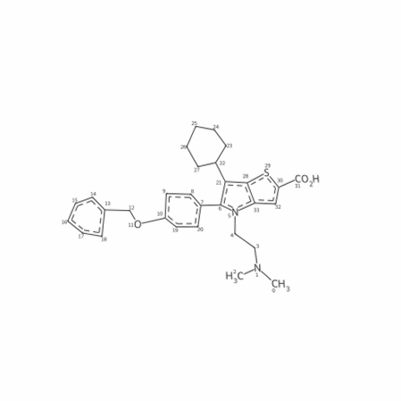 CN(C)CCn1c(-c2ccc(OCc3ccccc3)cc2)c(C2CCCCC2)c2sc(C(=O)O)cc21